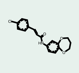 O=C(/C=C/c1ccc(Cl)cc1)Nc1ccc2c(c1)OCCCO2